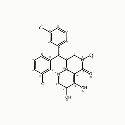 CCN1CC(C(c2cccc(Cl)c2)c2cccc(Cl)c2)N2N=CC(O)C(O)=C2C1=O